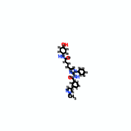 Cn1cc(-c2cccc(C(=O)Nc3nc(CCCC(=O)NC4CCC(O)CC4)cn3-c3ccccc3)c2)cn1